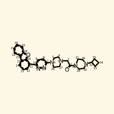 O=C(CN1CCN(c2ccc(-c3cccc4c3oc3ccccc34)nn2)CC1)N1CCN(C2CCC2)CC1